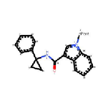 CCCCCn1cc(C(=O)NC2(c3ccccc3)CC2)c2ccccc21